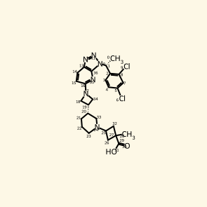 C[C@H](c1ccc(Cl)cc1Cl)n1nnc2ccc(N3CC([C@H]4CCCN(C5CC(C)(C(=O)O)C5)C4)C3)nc21